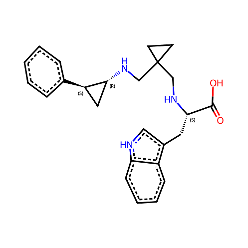 O=C(O)[C@H](Cc1c[nH]c2ccccc12)NCC1(CN[C@@H]2C[C@H]2c2ccccc2)CC1